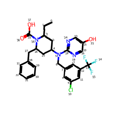 CCC1CC(N(Cc2cc(Cl)cc(C(F)(F)F)c2)c2ncc(O)cn2)CC(Cc2ccccc2)N1C(=O)O